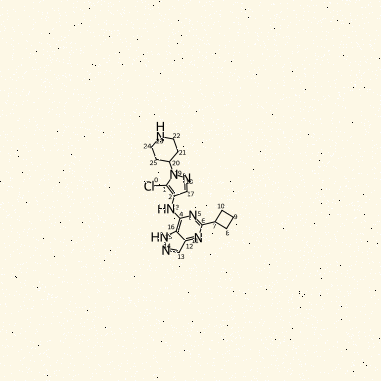 Clc1c(Nc2nc(C3CCC3)nc3cn[nH]c23)cnn1C1CCNCC1